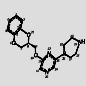 c1ccc2c(c1)OC[C@H](COc1cncc(N3CCNCC3)n1)O2